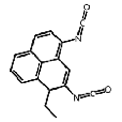 CCC1C(N=C=O)=Cc2c(N=C=O)ccc3cccc1c23